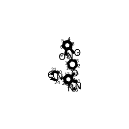 O=C1c2ccccc2C(=O)N1[C@H]1CC[C@@H](Oc2cc(N3CCOCC3)cc3ncncc23)CC1